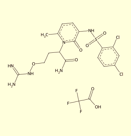 Cc1ccc(NS(=O)(=O)c2ccc(Cl)cc2Cl)c(=O)n1C(CCONC(=N)N)C(N)=O.O=C(O)C(F)(F)F